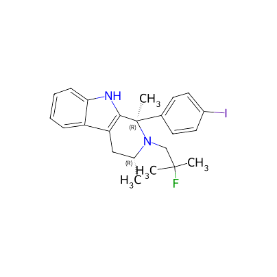 C[C@@H]1Cc2c([nH]c3ccccc23)[C@@](C)(c2ccc(I)cc2)N1CC(C)(C)F